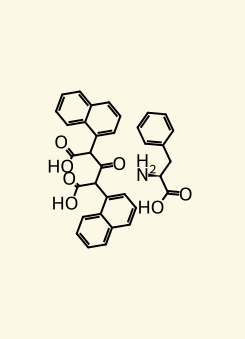 N[C@@H](Cc1ccccc1)C(=O)O.O=C(O)C(C(=O)C(C(=O)O)c1cccc2ccccc12)c1cccc2ccccc12